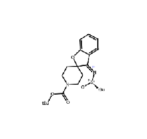 CC(C)(C)OC(=O)N1CCC2(CC1)Oc1ccccc1/C2=N/[S@+]([O-])C(C)(C)C